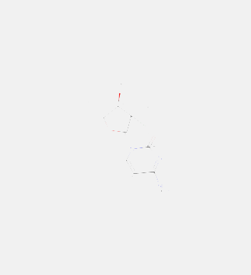 C[C@H]1O[C@@H](n2ccc(N)nc2=O)[C@](C)(F)[C@@H]1O